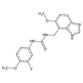 COc1ccc(NC(=O)NCc2c(OC)ccc3nc[nH]c23)cc1F